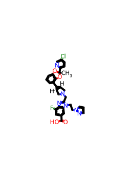 CC1(c2ccc(Cl)cn2)Oc2cccc(C3[C@H]4CN(Cc5nc6c(F)cc(C(=O)O)cc6n5CCn5cccn5)C[C@@H]34)c2O1